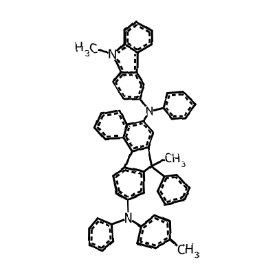 Cc1ccc(N(c2ccccc2)c2ccc3c(c2)C(C)(c2ccccc2)c2cc(N(c4ccccc4)c4ccc5c(c4)c4ccccc4n5C)c4ccccc4c2-3)cc1